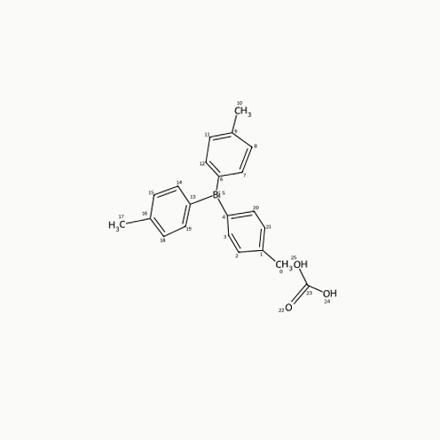 Cc1cc[c]([Bi]([c]2ccc(C)cc2)[c]2ccc(C)cc2)cc1.O=C(O)O